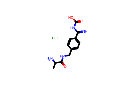 CC(N)C(=O)NCc1ccc(C(=N)NC(=O)O)cc1.Cl